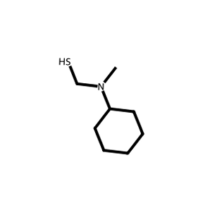 CN(CS)C1CCCCC1